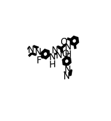 Cc1cccc(C)c1NC(=O)c1cnc(Nc2ccc(N3CCN(C)C(C)C3)c(F)c2)nc1Oc1ccc(-n2ccnc2)cc1